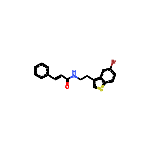 O=C(/C=C/c1ccccc1)NCCc1csc2ccc(Br)cc12